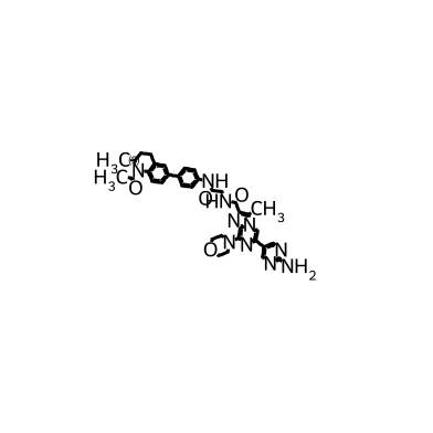 CC(=O)N1c2ccc(-c3ccc(NC(=O)CNC(=O)c4nc5c(N6CCOCC6)nc(-c6cnc(N)nc6)cn5c4C)cc3)cc2CC[C@@H]1C